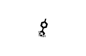 [CH2]c1ccc(-c2c[nH]nn2)cc1